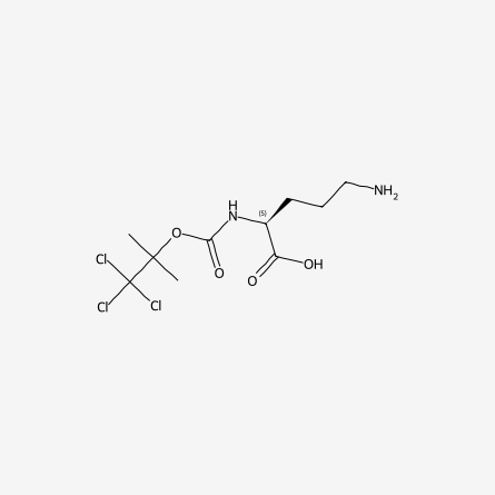 CC(C)(OC(=O)N[C@@H](CCCN)C(=O)O)C(Cl)(Cl)Cl